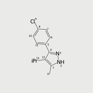 Cc1[nH]nc(-c2ccc(Cl)cc2)c1C(C)C